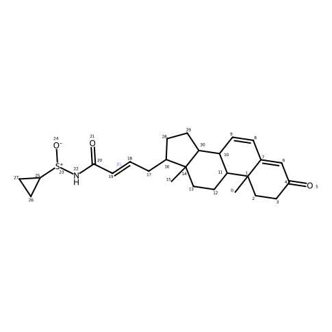 CC12CCC(=O)C=C1C=CC1C2CCC2(C)C(C/C=C/C(=O)N[S+]([O-])C3CC3)CCC12